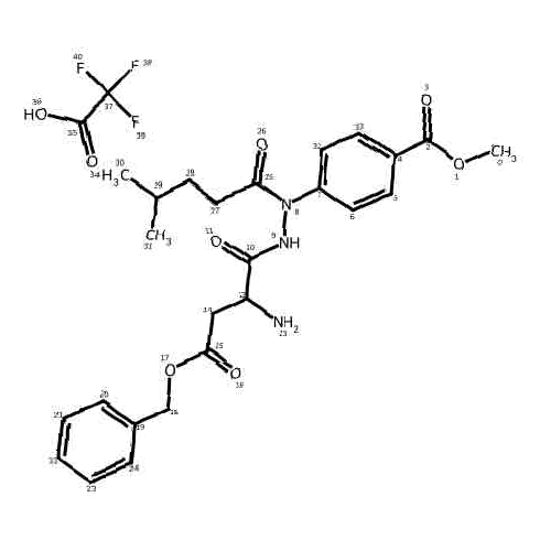 COC(=O)c1ccc(N(NC(=O)C(N)CC(=O)OCc2ccccc2)C(=O)CCC(C)C)cc1.O=C(O)C(F)(F)F